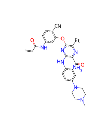 C=CC(=O)Nc1ccc(C#N)c(Oc2nc(Nc3ccc(N4CCN(C)CC4)cc3)c(C(N)=O)nc2CC)c1